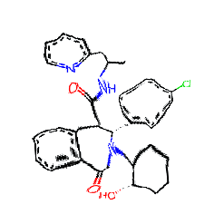 CC(NC(=O)[C@@H]1c2ccccc2C(=O)N([C@H]2CCCC[C@@H]2O)[C@H]1c1ccc(Cl)cc1)c1ccccn1